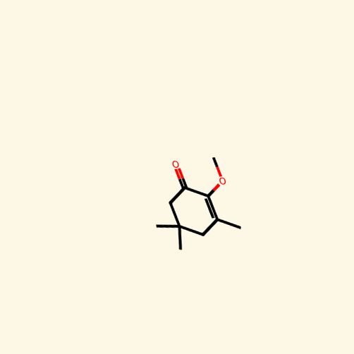 COC1=C(C)CC(C)(C)CC1=O